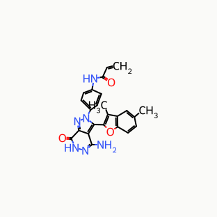 C=CC(=O)Nc1ccc(-n2nc3c(=O)[nH]nc(N)c3c2-c2oc3ccc(C)cc3c2C)cc1